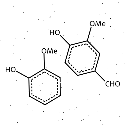 COc1cc(C=O)ccc1O.COc1ccccc1O